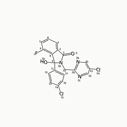 O=C1c2cccc(F)c2C(O)(c2ccc(Cl)cc2)N1Cc1ncc(Cl)cn1